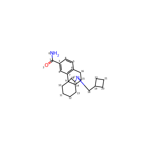 NC(=O)c1ccc2c(c1)C13CCCCC1C(C2)N(CC1CCC1)CC3